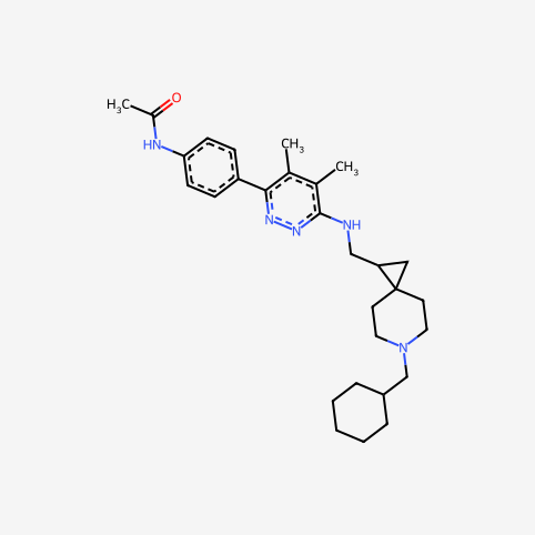 CC(=O)Nc1ccc(-c2nnc(NCC3CC34CCN(CC3CCCCC3)CC4)c(C)c2C)cc1